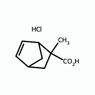 CC1(C(=O)O)CC2C=CC1C2.Cl